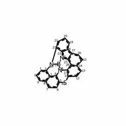 c1cc2c3c4c(ccc3c1)Sc1ccc3ccc5c6cccc7c6n6c5c3c1N4B6N27